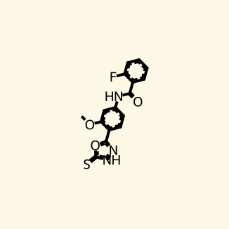 COc1cc(NC(=O)c2ccccc2F)ccc1-c1n[nH]c(=S)o1